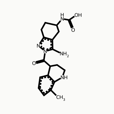 Cc1cccc2c1NCCC2C(=O)n1nc2c(c1N)CC(NC(=O)O)CC2